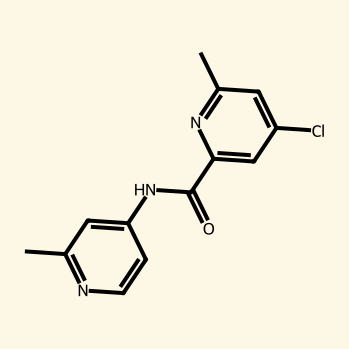 Cc1cc(NC(=O)c2cc(Cl)cc(C)n2)ccn1